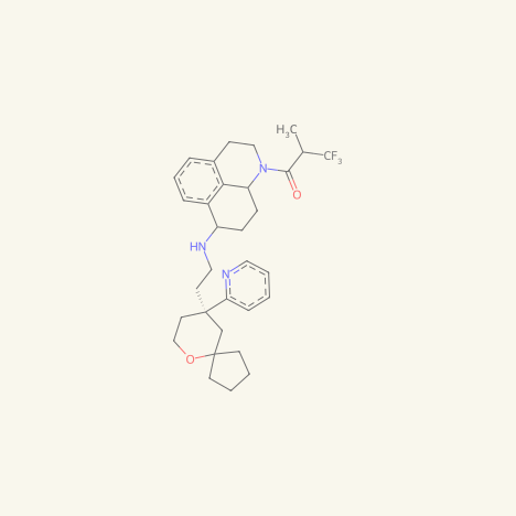 CC(C(=O)N1CCc2cccc3c2C1CCC3NCC[C@@]1(c2ccccn2)CCOC2(CCCC2)C1)C(F)(F)F